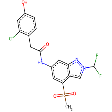 CS(=O)(=O)c1cc(NC(=O)Cc2ccc(O)cc2Cl)cc2nn(C(F)F)cc12